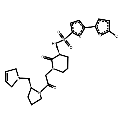 O=C1[C@@H](NS(=O)(=O)c2ccc(-c3ccc(Cl)s3)s2)CCCN1CC(=O)N1CCC[C@H]1CN1CC=CC1